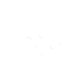 CC1C(=O)N(C)c2cnc(Nc3ccc(C(=O)O)cc3Cl)nc2N1C1CCCC1